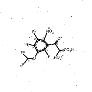 O=C(O)C(C(=O)O)C(=O)c1c(F)c(OC(F)F)c(F)c(F)c1[N+](=O)[O-]